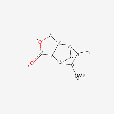 COC1C(C)C2CC1C1C(=O)OCC21